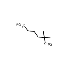 CC(C)(C=O)CCCC(=O)O